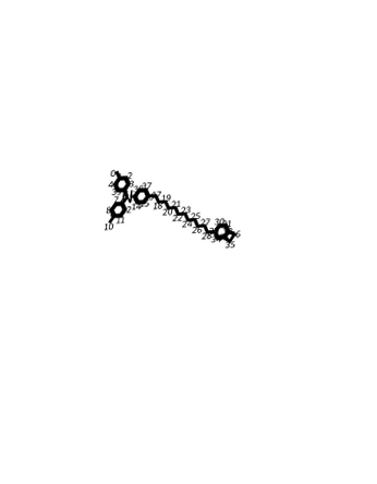 Cc1ccc(N(c2ccc(C)cc2)c2ccc(CCCCCCCCCCCCc3ccc4c(c3)CC4)cc2)cc1